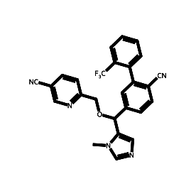 Cn1cncc1C(OCc1ccc(C#N)cn1)c1ccc(C#N)c(-c2ccccc2C(F)(F)F)c1